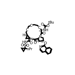 CCCC1(S(=O)(=O)NC(=O)[C@@]23C[C@H]2CCCCCCC[C@H](NC(=O)OC(C)(C)C)C(=O)N2C[C@H](Oc4nccc5ccccc45)C[C@H]2C(=O)N3)CC1